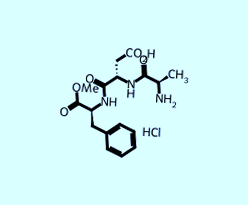 COC(=O)[C@H](Cc1ccccc1)NC(=O)[C@H](CC(=O)O)NC(=O)[C@@H](C)N.Cl